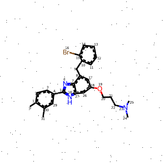 Cc1ccc(-c2nc3c(Cc4ccccc4Br)cc(OCCCN(C)C)cc3[nH]2)cc1C